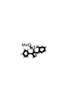 [Li][c]1ccccc1-c1scc(-c2ccccc2)c1OCOC